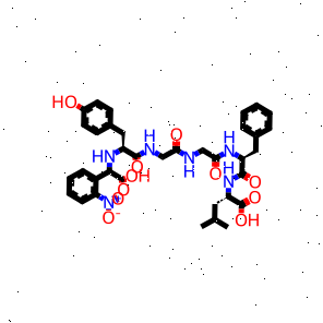 CC(C)C[C@H](NC(=O)[C@H](Cc1ccccc1)NC(=O)CNC(=O)CNC(=O)[C@H](Cc1ccc(O)cc1)NC(C(=O)O)c1ccccc1[N+](=O)[O-])C(=O)O